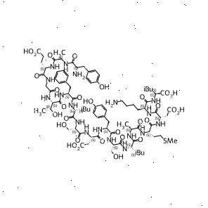 CC[C@H](C)[C@H](NC(=O)[C@H](CCCCN)NC(=O)[C@H](CC(=O)O)NC(=O)[C@H](CCSC)NC(=O)[C@H](C)NC(=O)[C@@H](NC(=O)[C@H](CO)NC(=O)[C@H](Cc1ccc(O)cc1)NC(=O)[C@H](CC(=O)O)NC(=O)[C@H](CO)NC(=O)[C@@H](NC(=O)[C@H](Cc1ccccc1)NC(=O)[C@@H](NC(=O)CNC(=O)[C@H](CCC(=O)O)NC(=O)[C@H](C)NC(=O)[C@@H](N)Cc1ccc(O)cc1)[C@@H](C)O)[C@@H](C)CC)[C@@H](C)CC)C(=O)O